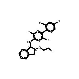 CCc1nc(-c2ncc(Cl)cc2Cl)c(CC)nc1N[C@@H]1c2ccccc2C[C@@H]1OCCF